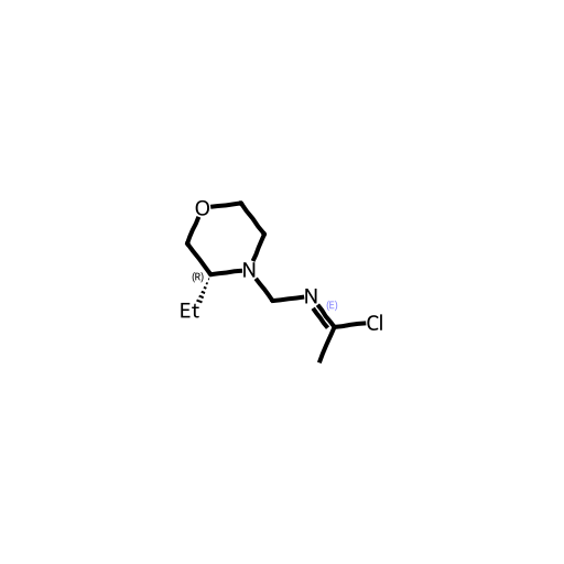 CC[C@@H]1COCCN1C/N=C(\C)Cl